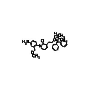 COCc1cc(N)ccc1-n1cccc(CCO[Si](c2ccccc2)(c2ccccc2)C(C)(C)C)c1=O